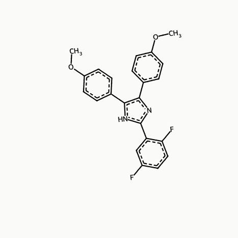 COc1ccc(-c2nc(-c3cc(F)ccc3F)[nH]c2-c2ccc(OC)cc2)cc1